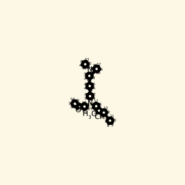 CC1(C)c2cc(-c3ccccc3)ccc2-c2ccc(N(c3ccc(-c4ccc(-c5ccc6c(c5)c5ccccc5n6-c5ccccc5)cc4)cc3)c3ccc4oc5ccccc5c4c3)cc21